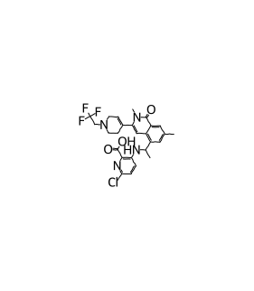 Cc1cc(C(C)Nc2ccc(Cl)nc2C(=O)O)c2cc(C3=CCN(CC(F)(F)F)CC3)n(C)c(=O)c2c1